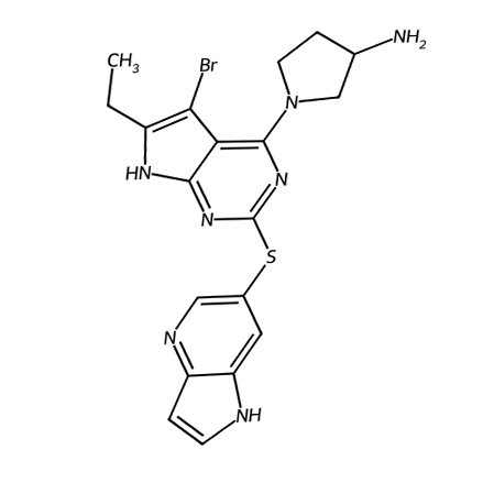 CCc1[nH]c2nc(Sc3cnc4cc[nH]c4c3)nc(N3CCC(N)C3)c2c1Br